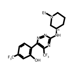 CCN1CCC[C@@H](Nc2nnc(-c3ccc(C(F)(F)F)cc3O)c(C(F)(F)F)n2)C1